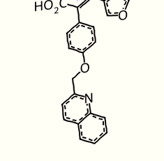 O=C(O)/C(=C/c1ccoc1)c1ccc(OCc2ccc3ccccc3n2)cc1